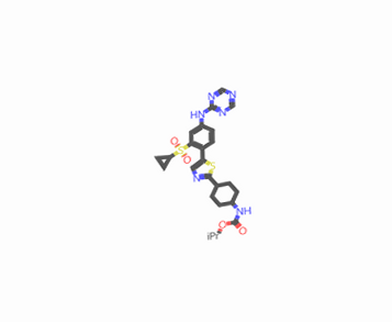 CC(C)OC(=O)NC1CCC(c2ncc(-c3ccc(Nc4ncncn4)cc3S(=O)(=O)C3CC3)s2)CC1